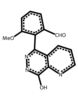 COc1cccc(C=O)c1-c1nnc(O)c2ncccc12